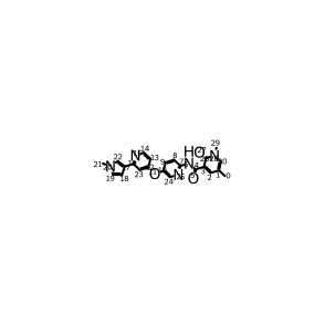 Cc1cc(C(=O)Nc2ccc(Oc3ccnc(-c4ccn(C)c4)c3)cn2)c(=O)n(C)c1